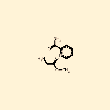 COC(=O)CN.NC(=O)c1ccccn1